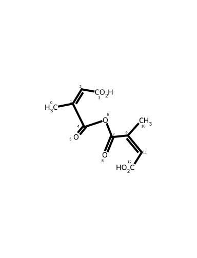 C/C(=C/C(=O)O)C(=O)OC(=O)/C(C)=C\C(=O)O